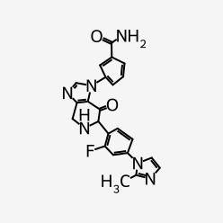 Cc1nccn1-c1ccc(C2NCc3ncn(-c4cccc(C(N)=O)c4)c3C2=O)c(F)c1